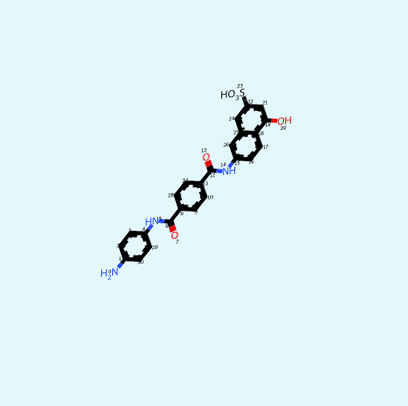 Nc1ccc(NC(=O)c2ccc(C(=O)Nc3ccc4c(O)cc(S(=O)(=O)O)cc4c3)cc2)cc1